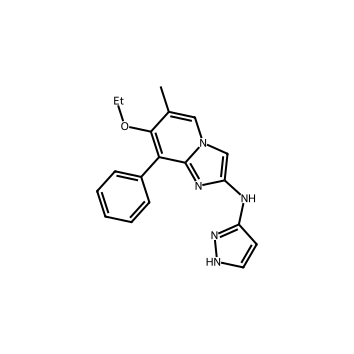 CCOc1c(C)cn2cc(Nc3cc[nH]n3)nc2c1-c1ccccc1